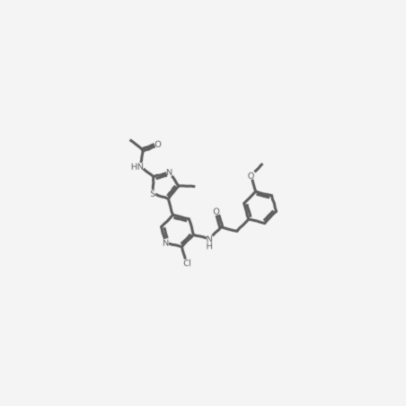 COc1cccc(CC(=O)Nc2cc(-c3sc(NC(C)=O)nc3C)cnc2Cl)c1